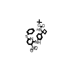 CC(C)(C)OC(=O)NC1(c2ccc(Nc3nc(Sc4ccccc4)ccc3[N+](=O)[O-])cc2)CCC1